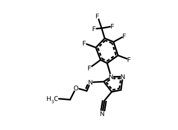 CCOC=Nc1c(C#N)cnn1-c1c(F)c(F)c(C(F)(F)F)c(F)c1F